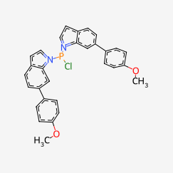 COc1ccc(-c2ccc3ccn(P(Cl)n4ccc5ccc(-c6ccc(OC)cc6)cc54)c3c2)cc1